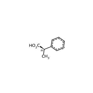 C[C@@H](C(=O)O)c1cccpc1